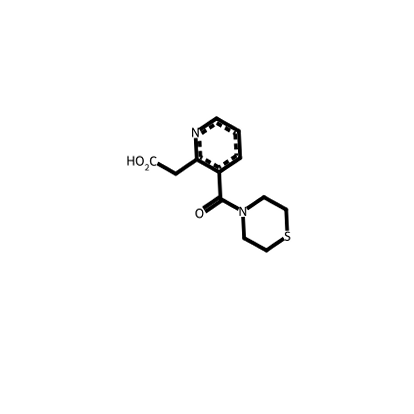 O=C(O)Cc1ncccc1C(=O)N1CCSCC1